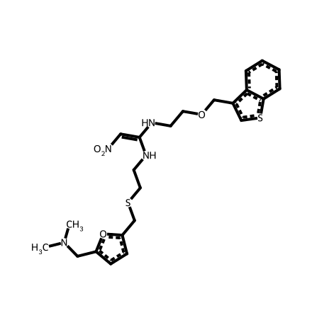 CN(C)Cc1ccc(CSCCNC(=C[N+](=O)[O-])NCCOCc2csc3ccccc23)o1